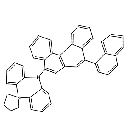 c1ccc2c(c1)N(c1cc3cc(-c4cccc5ccccc45)c4ccccc4c3c3ccccc13)c1ccccc1[Si]21CCCC1